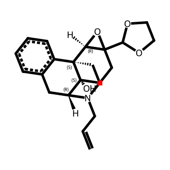 C=CCN1CC[C@@]23c4ccccc4C[C@@H]1[C@]2(O)CCC1(C2OCCO2)O[C@@H]13